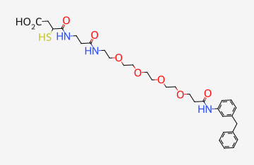 O=C(O)CC(S)C(=O)NCCC(=O)NCCOCCOCCOCCOCCC(=O)Nc1cccc(Cc2ccccc2)c1